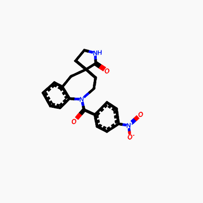 O=C(c1ccc([N+](=O)[O-])cc1)N1CCC2(CCNC2=O)Cc2ccccc21